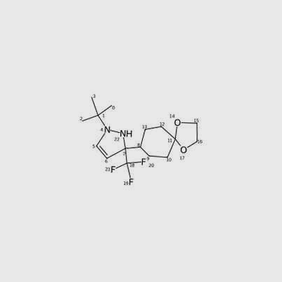 CC(C)(C)N1C=CC(C2CCC3(CC2)OCCO3)(C(F)(F)F)N1